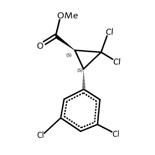 COC(=O)[C@@H]1[C@@H](c2cc(Cl)cc(Cl)c2)C1(Cl)Cl